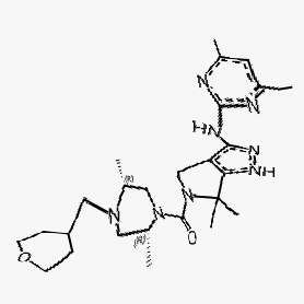 Cc1cc(C)nc(Nc2n[nH]c3c2CN(C(=O)N2C[C@@H](C)N(CC4CCOCC4)C[C@H]2C)C3(C)C)n1